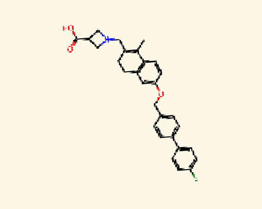 CC1=C(CN2CC(C(=O)O)C2)CCc2cc(OCc3ccc(-c4ccc(F)cc4)cc3)ccc21